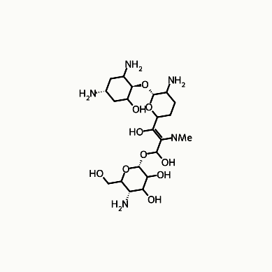 CN/C(=C(/O)C1CCC(N)[C@@H](O[C@@H]2C(N)C[C@@H](N)CC2O)O1)C(O)O[C@H]1OC(CO)[C@@H](N)C(O)C1O